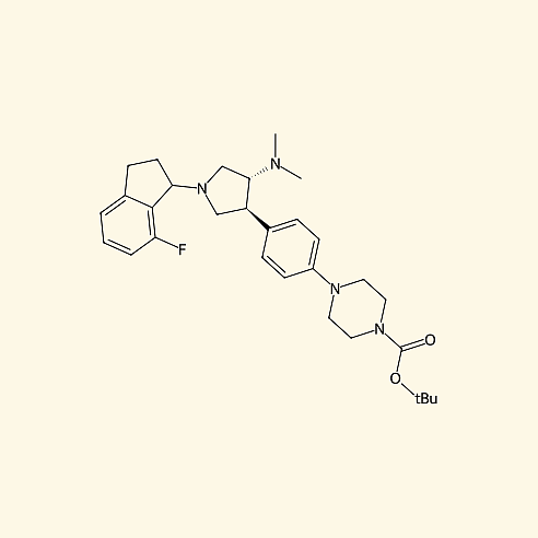 CN(C)[C@H]1CN(C2CCc3cccc(F)c32)C[C@@H]1c1ccc(N2CCN(C(=O)OC(C)(C)C)CC2)cc1